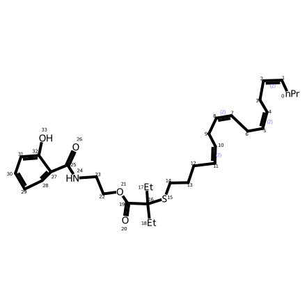 CCC/C=C\C/C=C\C/C=C\C/C=C\CCCSC(CC)(CC)C(=O)OCCNC(=O)c1ccccc1O